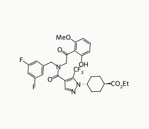 CCOC(=O)[C@H]1CC[C@H](n2ncc(C(=O)N(CC(=O)c3c(O)cccc3OC)Cc3cc(F)cc(F)c3)c2C(F)(F)F)CC1